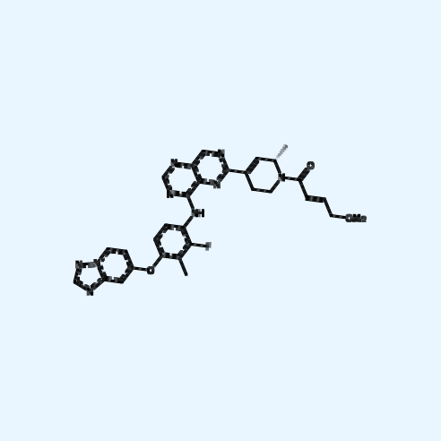 COC/C=C/C(=O)N1CCC(c2ncc3ncnc(Nc4ccc(Oc5ccn6ncnc6c5)c(C)c4F)c3n2)=C[C@@H]1C